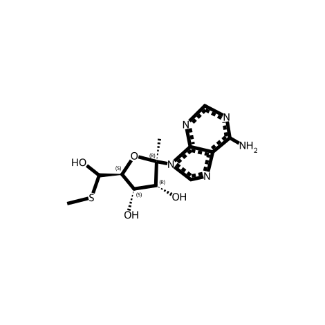 CSC(O)[C@H]1O[C@@](C)(n2cnc3c(N)ncnc32)[C@H](O)[C@@H]1O